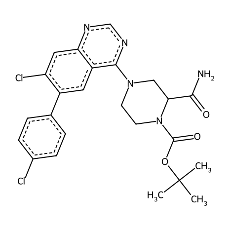 CC(C)(C)OC(=O)N1CCN(c2ncnc3cc(Cl)c(-c4ccc(Cl)cc4)cc23)CC1C(N)=O